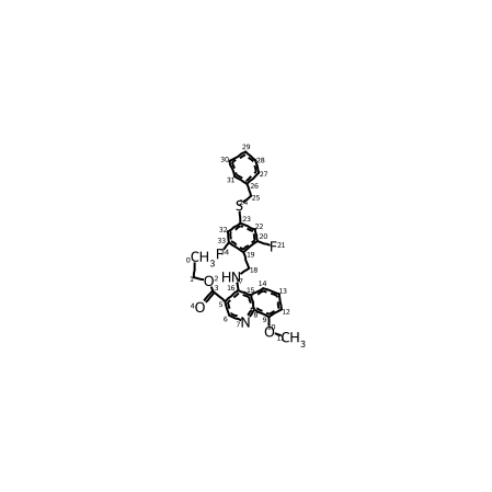 CCOC(=O)c1cnc2c(OC)cccc2c1NCc1c(F)cc(SCc2ccccc2)cc1F